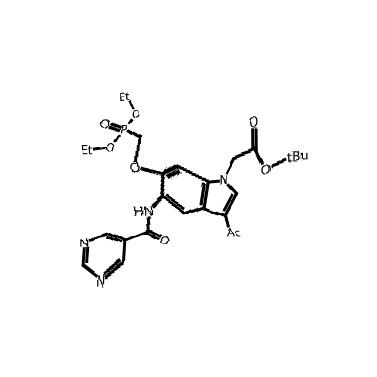 CCOP(=O)(COc1cc2c(cc1NC(=O)c1cncnc1)c(C(C)=O)cn2CC(=O)OC(C)(C)C)OCC